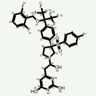 O=S(=O)(c1ccc(F)cc1)[C@@]1(c2ccc(C(OCc3c(F)cccc3F)(C(F)(F)F)C(F)(F)F)cc2)CCN(C(O)Cc2cc(O)nc(O)n2)C1